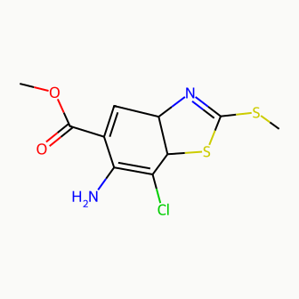 COC(=O)C1=CC2N=C(SC)SC2C(Cl)=C1N